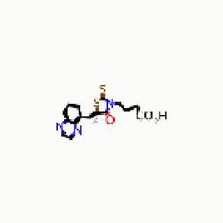 O=C(O)CCCN1C(=O)/C(=C/c2cccc3nccnc23)SC1=S